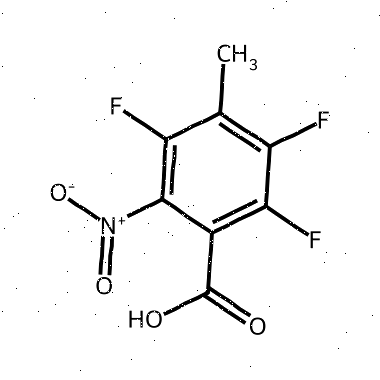 Cc1c(F)c(F)c(C(=O)O)c([N+](=O)[O-])c1F